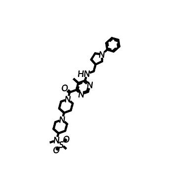 Cc1c(NCC2CCN(c3ccccc3)C2)ncnc1C(=O)N1CCC(N2CCC(N(C)S(C)(=O)=O)CC2)CC1